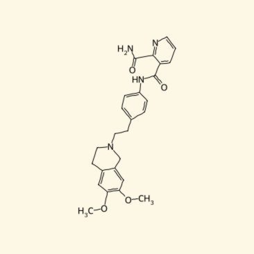 COc1cc2c(cc1OC)CN(CCc1ccc(NC(=O)c3cccnc3C(N)=O)cc1)CC2